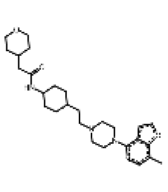 Cc1cnc(N2CCN(CCC3CCC(NC(=O)CC4CCOCC4)CC3)CC2)c2ccoc12